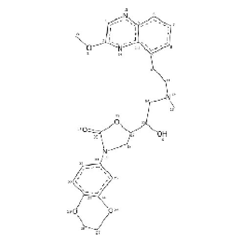 COc1cnc2cccc(CCN(C)CC(O)C3CN(c4ccc5c(c4)OCCO5)C(=O)O3)c2n1